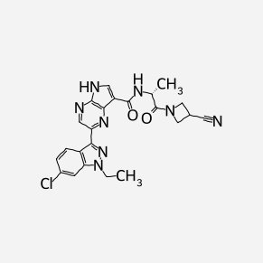 CCn1nc(-c2cnc3[nH]cc(C(=O)N[C@H](C)C(=O)N4CC(C#N)C4)c3n2)c2ccc(Cl)cc21